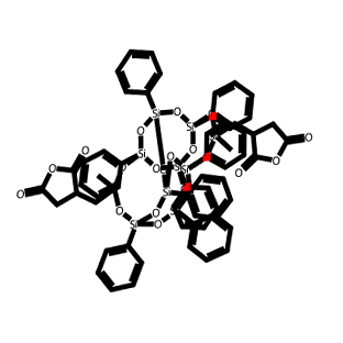 CC1(CC2CC(=O)OC2=O)O[Si]2(c3ccccc3)O[Si]3(c4ccccc4)O[Si]4(c5ccccc5)O[Si](C)(CC5CC(=O)OC5=O)O[Si]5(c6ccccc6)O[Si](c6ccccc6)(O[Si](c6ccccc6)(O1)O[Si](c1ccccc1)(O5)O[Si](c1ccccc1)(O2)O4)O3